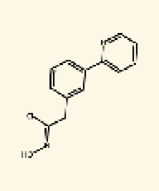 O/N=C(\Cl)Cc1cccc(-c2ccccn2)c1